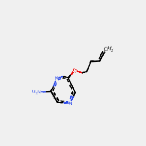 C=CCCOc1cncc(N)n1